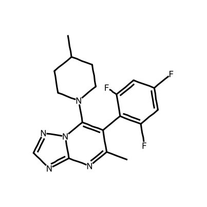 Cc1nc2ncnn2c(N2CCC(C)CC2)c1-c1c(F)cc(F)cc1F